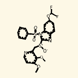 COc1ccnc(C[S+]([O-])c2nc3ccc(OC(F)F)cc3n2S(=O)(=O)c2ccccc2)c1OC